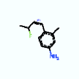 Cc1cc(N)ccc1/C=C\C(C)F